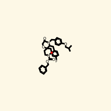 CC(C)COc1ccc(CN2C(=O)COC3(CCN(C(=O)OCc4ccccc4)CC3)C2Cc2ccc(F)cc2)cc1